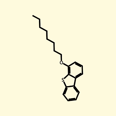 CCCCCCCCOc1cccc2c1sc1ccccc12